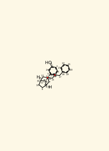 Oc1cccc([C@H]2C[C@H]3CC[C@@H](C2)N3CCNCc2ccccc2)c1